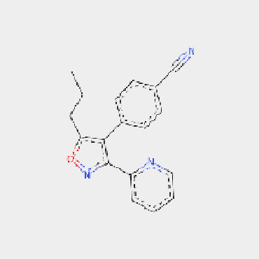 CCCc1onc(-c2ccccn2)c1-c1ccc(C#N)cc1